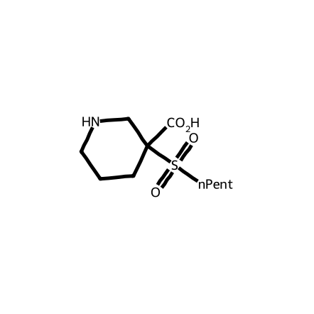 CCCCCS(=O)(=O)C1(C(=O)O)CCCNC1